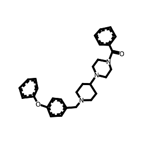 O=C(c1ccccc1)N1CCN(C2CCN(Cc3ccc(Oc4ccccc4)cc3)CC2)CC1